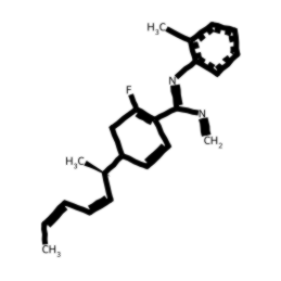 C=N/C(=N\c1ccccc1C)C1=C(F)CC([C@H](C)/C=C\C=C/C)C=C1